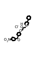 O=C(c1ccc(OCC(O)C[n+]2ccc(-c3ccccc3)cc2)cc1)c1ccc([N+](=O)[O-])cc1.[Cl-]